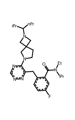 CCCC(C(C)C)N1CC2(CCN(c3ncnnc3Cc3ccc(F)cc3C(=O)N(CC)C(C)C)C2)C1